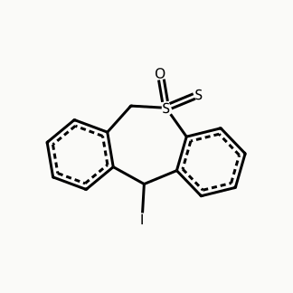 O=S1(=S)Cc2ccccc2C(I)c2ccccc21